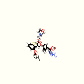 COc1cccc2sc(C(=O)OCCN3CCOCC3)c(COc3ccc(C(N)=O)cc3)c12